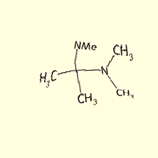 CNC(C)(C)N(C)C